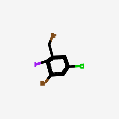 Clc1cc(Br)c(I)c(CBr)c1